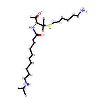 CC(=O)[C@@H](NC(=O)CCCCCCCCCNC(C)C)C(C)(C)SCCCCCCN